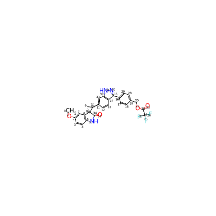 COc1ccc2c(c1)[C@]1(C[C@H]1c1ccc3c(-c4ccc(COC(=O)C(F)(F)F)cc4)n[nH]c3c1)C(=O)N2